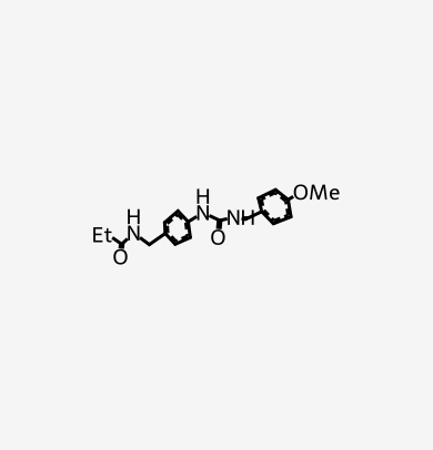 CCC(=O)NCc1ccc(NC(=O)NCc2ccc(OC)cc2)cc1